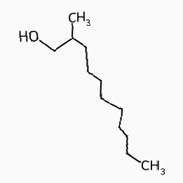 CCCCCCCCCC(C)CO